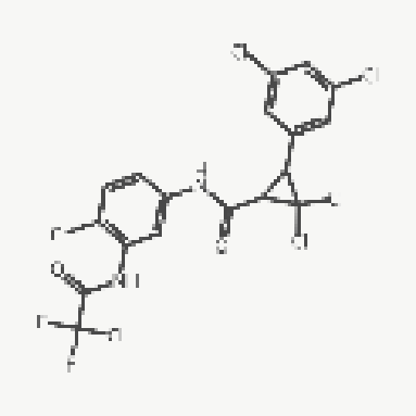 O=C(Nc1ccc(Cl)c(NC(=O)C(F)(F)Cl)c1)C1C(c2cc(Cl)cc(Cl)c2)C1(Cl)Cl